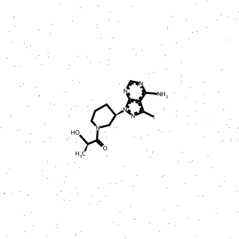 C[C@@H](O)C(=O)N1CCC[C@@H](n2nc(I)c3c(N)ncnc32)C1